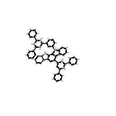 C1=CC2Oc3c(cc(-c4cc(-c5ccccc5)nc(-c5ccccc5)n4)c4c5ccccc5n(-c5cccc(-c6nc(-c7ccccc7)nc(-c7ccccc7)n6)c5)c34)C2C=C1